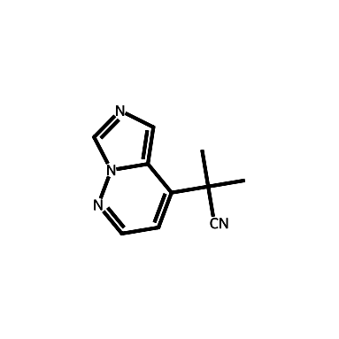 CC(C)(C#N)c1ccnn2cncc12